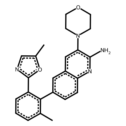 Cc1cnc(-c2cccc(C)c2-c2ccc3nc(N)c(N4CCOCC4)cc3c2)o1